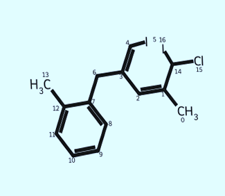 C/C(=C/C(=C\I)Cc1ccccc1C)C(Cl)I